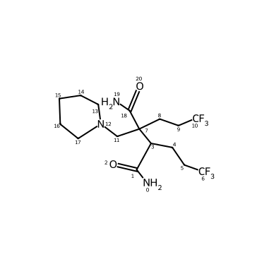 NC(=O)C(CCC(F)(F)F)C(CCC(F)(F)F)(CN1CCCCC1)C(N)=O